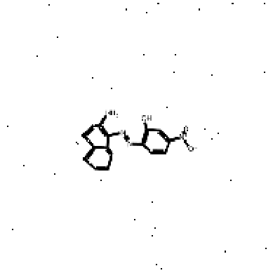 Nc1ccc2ccccc2c1N=Nc1ccc([N+](=O)[O-])cc1O